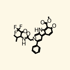 COC(=O)c1c(=O)ccc2c1[nH]c1cn(CC(=O)NC(C(=O)C(F)(F)F)C(C)C)c(-c3ccccc3)cc12